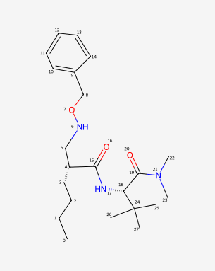 CCCC[C@H](CNOCc1ccccc1)C(=O)N[C@H](C(=O)N(C)C)C(C)(C)C